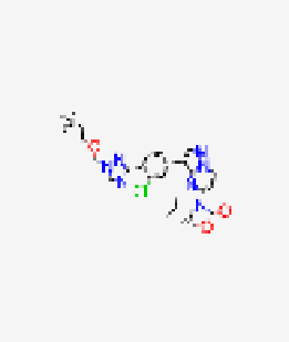 CC(C)[C@H]1COC(=O)N1c1ccn2ncc(-c3ccc(-c4ncn(COCC[Si](C)(C)C)n4)c(Cl)c3)c2n1